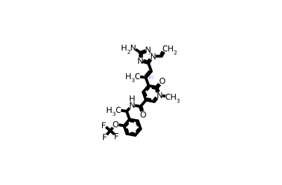 C=Cn1nc(N)nc1/C=C(\C)c1cc(C(=O)NC(C)c2ccccc2OC(F)(F)F)cn(C)c1=O